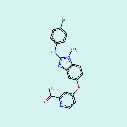 CC(=O)c1cc(Oc2ccc3c(c2)nc(Nc2ccc(Br)cc2)n3C)ccn1